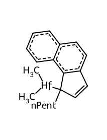 CCCCC[C]1([Hf]([CH3])[CH3])C=Cc2ccc3ccccc3c21